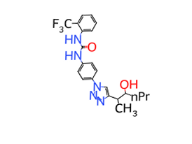 CCCC(O)C(C)c1cn(-c2ccc(NC(=O)Nc3ccccc3C(F)(F)F)cc2)nn1